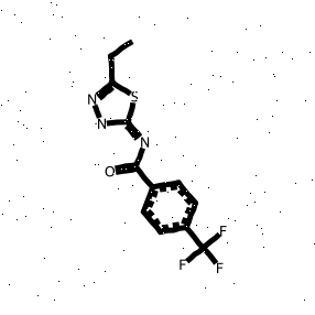 CCC1=N[N]C(=NC(=O)c2ccc(C(F)(F)F)cc2)S1